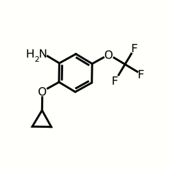 Nc1cc(OC(F)(F)F)ccc1OC1CC1